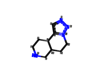 c1nnn2c1C1CCNCC1CC2